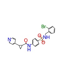 O=C(Nc1ccc(S(=O)(=O)NCc2ccccc2Br)cc1)C1CC1c1ccncc1